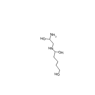 NC(O)CNC(O)CCCCO